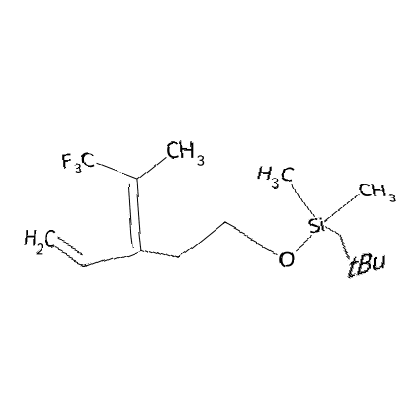 C=CC(CCO[Si](C)(C)C(C)(C)C)=C(C)C(F)(F)F